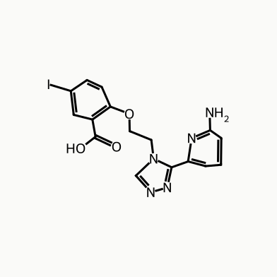 Nc1cccc(-c2nncn2CCOc2ccc(I)cc2C(=O)O)n1